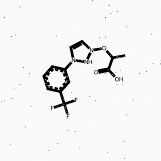 CC(ON1C=CN(c2cccc(C(F)(F)F)c2)N1)C(=O)O